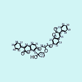 CC(CC(C)(C)O)OC(COc1ccc2cc(-c3ccccc3)c(=O)oc2c1)COc1ccc2cc(-c3ccccc3)c(=O)oc2c1